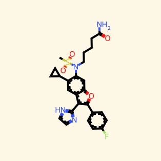 CS(=O)(=O)N(CCCCC(N)=O)c1cc2oc(-c3ccc(F)cc3)c(-c3ncc[nH]3)c2cc1C1CC1